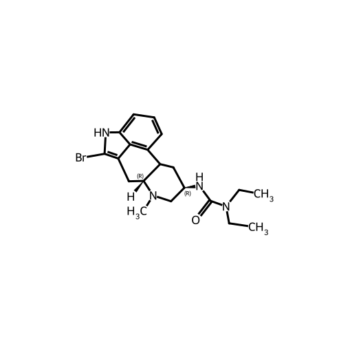 CCN(CC)C(=O)N[C@@H]1CC2c3cccc4[nH]c(Br)c(c34)C[C@H]2N(C)C1